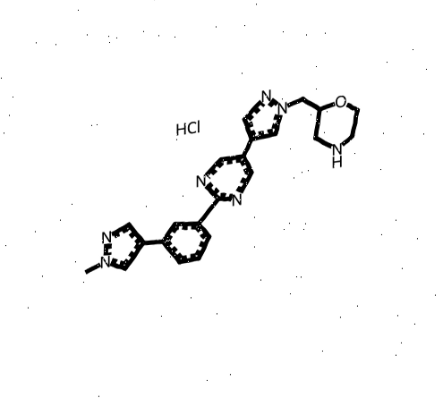 Cl.Cn1cc(-c2cccc(-c3ncc(-c4cnn(CC5CNCCO5)c4)cn3)c2)cn1